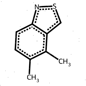 Cc1ccc2nscc2c1C